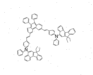 CCC1(CC)c2ccccc2-c2c1cc(N(c1ccccc1)c1ccc(/C=C/c3ccc4c(-c5ccccc5)c(-c5ccccc5)c5ccc(/C=C/c6ccc(N(c7ccccc7)c7cc8c(c9ccccc79)-c7ccccc7C8(CC)CC)cc6)cc5c4c3)cc1)c1ccccc21